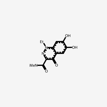 CCn1nc(C(=O)NC)c(=O)c2cc(O)c(O)cc21